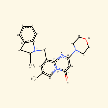 Cc1cc(CN2c3ccccc3CC2C)c2nc(N3CCOCC3)cc(=O)n2c1